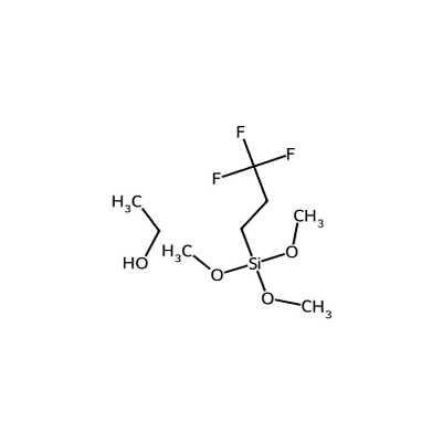 CCO.CO[Si](CCC(F)(F)F)(OC)OC